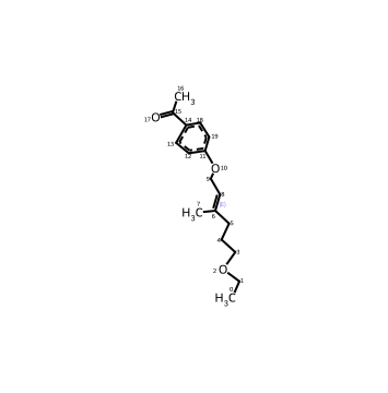 CCOCCC/C(C)=C/COc1ccc(C(C)=O)cc1